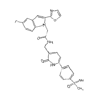 CS(=N)(=O)c1ccc(-c2ccc(CNC(=O)Cn3c(-c4ncco4)cc4cc(F)ccc43)c(=O)[nH]2)cc1